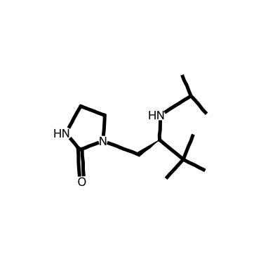 CC(C)N[C@H](CN1CCNC1=O)C(C)(C)C